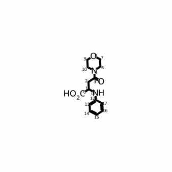 O=C(O)C(CC(=O)N1CCOCC1)Nc1ccccc1